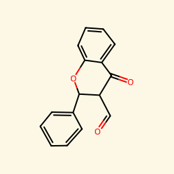 O=CC1C(=O)c2ccccc2OC1c1ccccc1